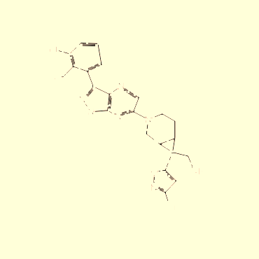 Cc1cc(C2(CN)C3CCN(c4cnc5c(-c6cccc(Cl)c6Cl)n[nH]c5n4)CC32)on1